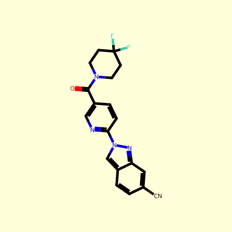 N#Cc1ccc2cn(-c3ccc(C(=O)N4CCC(F)(F)CC4)cn3)nc2c1